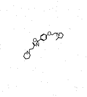 CC1CCCN1CCOc1ccc(-c2nc(CCN3CCCCC3)co2)cc1